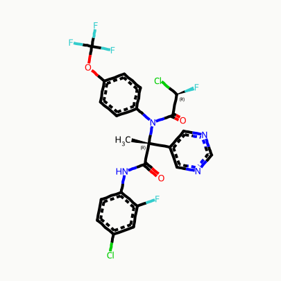 C[C@](C(=O)Nc1ccc(Cl)cc1F)(c1cncnc1)N(C(=O)[C@H](F)Cl)c1ccc(OC(F)(F)F)cc1